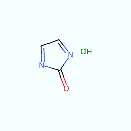 Cl.O=C1N=CC=N1